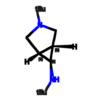 CC(C)(C)N[C@H]1[C@@H]2CN(C(C)(C)C)C[C@@H]21